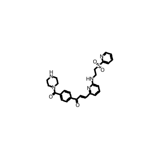 O=C(C=Cc1cccc(NCCS(=O)(=O)c2ccccn2)n1)c1ccc(C(=O)N2CCNCC2)cc1